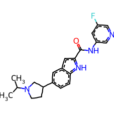 CC(C)N1CCC(c2ccc3[nH]c(C(=O)Nc4cncc(F)c4)cc3c2)C1